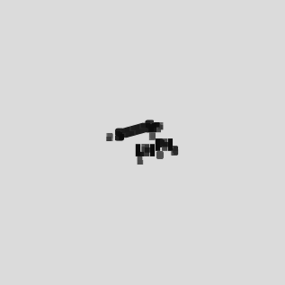 P.[LiH].[S]=[Sn]